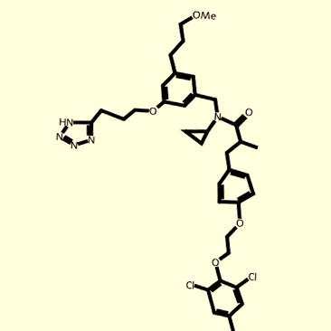 COCCCc1cc(CN(C(=O)C(C)Cc2ccc(OCCOc3c(Cl)cc(C)cc3Cl)cc2)C2CC2)cc(OCCCc2nnn[nH]2)c1